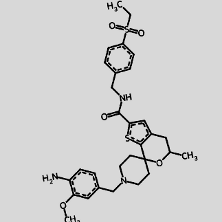 CCS(=O)(=O)c1ccc(CNC(=O)c2cc3c(s2)C2(CCN(Cc4ccc(N)c(OC)c4)CC2)OC(C)C3)cc1